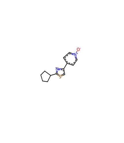 [O-][n+]1ccc(-c2csc(C3CCCC3)n2)cc1